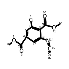 COC(=O)c1cc(Cl)c(C(=O)OC)c(N=C=S)c1